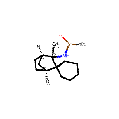 CC(C)(C)[S+]([O-])N[C@@]1(C)[C@@H]2CC[C@@H](C2)C12CCCCC2